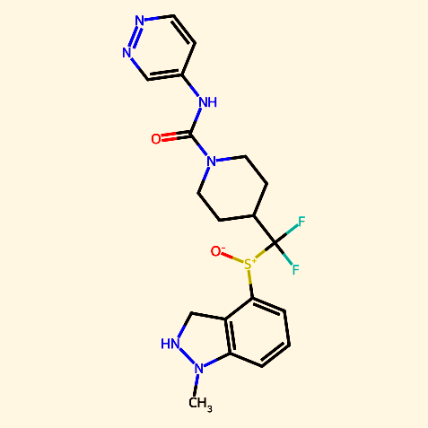 CN1NCc2c1cccc2[S+]([O-])C(F)(F)C1CCN(C(=O)Nc2ccnnc2)CC1